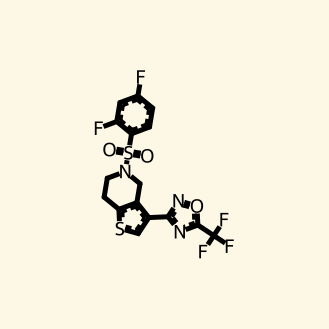 O=S(=O)(c1ccc(F)cc1F)N1CCc2scc(-c3noc(C(F)(F)F)n3)c2C1